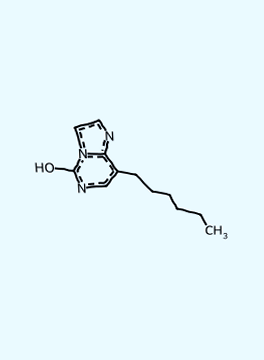 CCCCCCc1cnc(O)n2ccnc12